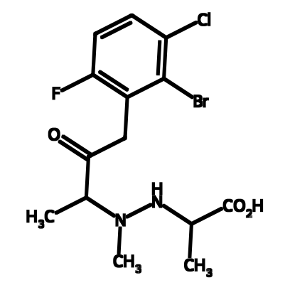 CC(NN(C)C(C)C(=O)Cc1c(F)ccc(Cl)c1Br)C(=O)O